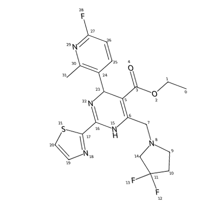 CCOC(=O)C1=C(CN2CCC(F)(F)C2)NC(c2nccs2)=NC1c1ccc(F)nc1C